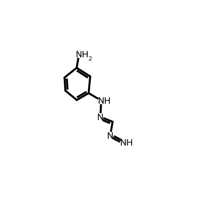 N=NC=NNc1cccc(N)c1